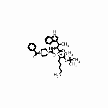 CC(c1c[nH]c2ccccc12)C(NC(=O)N1CCN(C(=O)c2ccccc2)CC1)C(=O)NC(CCCCN)C(=O)OC(C)(C)C